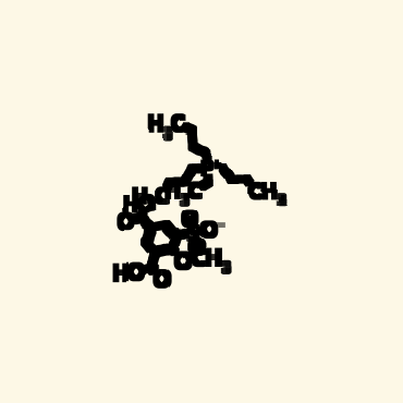 CCCC[P+](CC)(CCCC)CCCC.COc1c(C(=O)O)cc(C(=O)O)cc1S(=O)(=O)[O-]